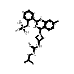 Cc1ccc2c(N3CC(NC(=O)OCC(C)C)C3)nc(-c3ccccc3CP(=O)(O)O)nc2c1